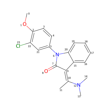 COc1ccc(N2C(=O)C(=C(C)N(C)C)c3ccccc32)cc1Cl